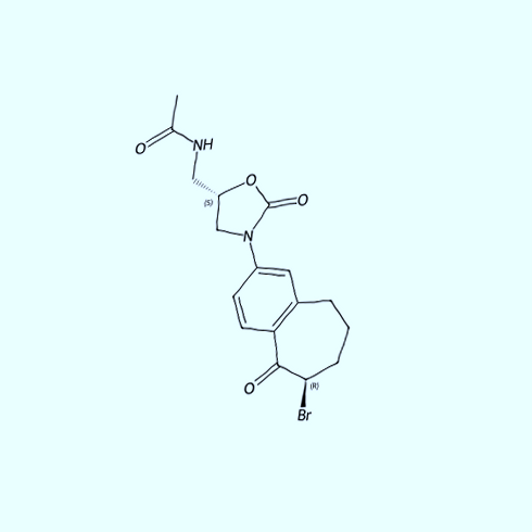 CC(=O)NC[C@H]1CN(c2ccc3c(c2)CCC[C@@H](Br)C3=O)C(=O)O1